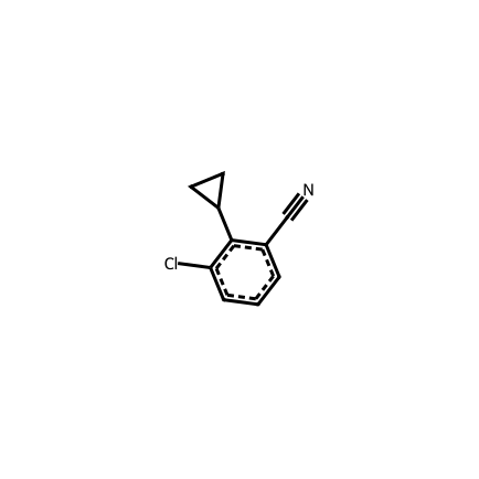 N#Cc1cccc(Cl)c1C1CC1